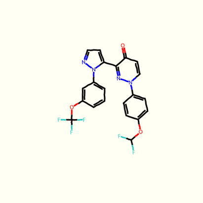 O=c1ccn(-c2ccc(OC(F)F)cc2)nc1-c1ccnn1-c1cccc(OC(F)(F)F)c1